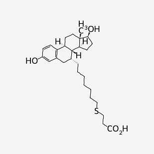 C[C@]12CC[C@@H]3c4ccc(O)cc4C[C@@H](CCCCCCCSCCC(=O)O)[C@H]3[C@@H]1CC[C@@H]2O